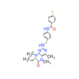 CC[C@@H]1C(=O)N(C)c2c(C)nc(NCc3ccc(NC(=O)c4ccc(F)cc4)cc3)nc2N1C